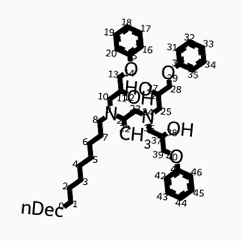 CCCCCCCCCCCCCCCCCCN(CC(O)COc1ccccc1)C(C)CN(CC(O)COc1ccccc1)CC(O)COc1ccccc1